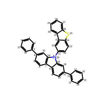 c1ccc(-c2ccc3c4ccc(-c5ccccc5)cc4n(-c4ccc5sc6ccccc6c5c4)c3c2)cc1